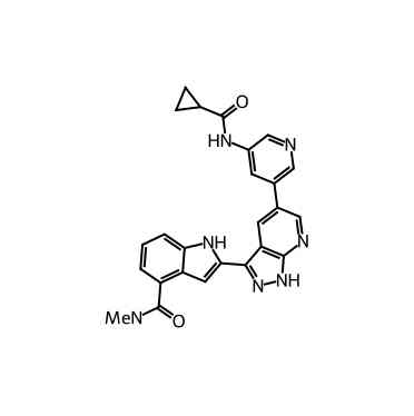 CNC(=O)c1cccc2[nH]c(-c3n[nH]c4ncc(-c5cncc(NC(=O)C6CC6)c5)cc34)cc12